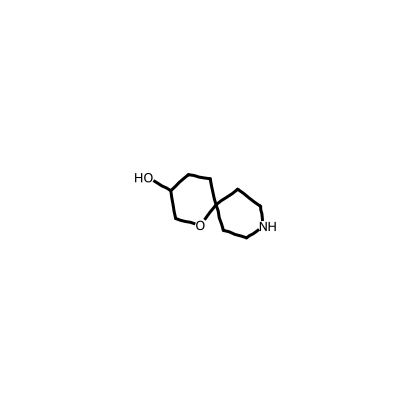 OC1CCC2(CCNCC2)OC1